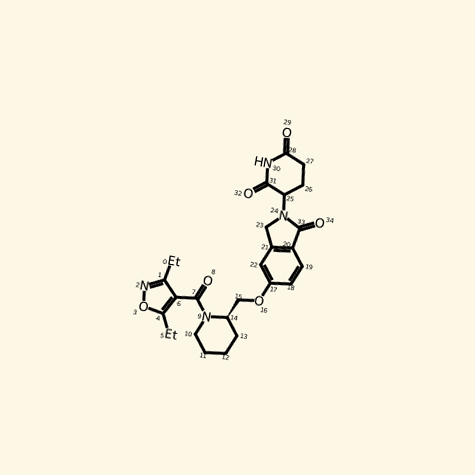 CCc1noc(CC)c1C(=O)N1CCCC[C@@H]1COc1ccc2c(c1)CN(C1CCC(=O)NC1=O)C2=O